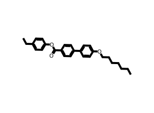 CCCCCCCOc1ccc(-c2ccc(C(=O)Oc3ccc(CC)cc3)cc2)cc1